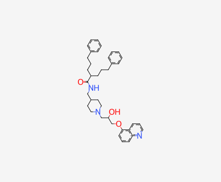 O=C(NCC1CCN(CC(O)COc2cccc3ncccc23)CC1)C(CCCc1ccccc1)CCCc1ccccc1